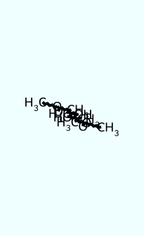 CCCCCCOC(=O)CCCC(C)(C)c1cc(O)c(C(C)(CC)CCC(=O)OCCCCCC)cc1O